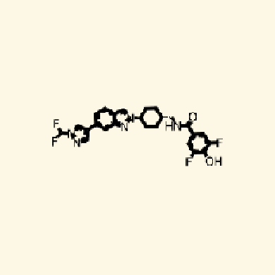 O=C(NC[C@H]1CC[C@H](n2cc3ccc(-c4cnn(C(F)F)c4)cc3n2)CC1)c1cc(F)c(O)c(F)c1